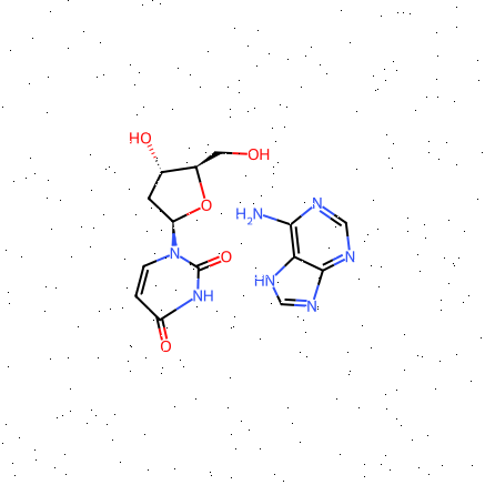 Nc1ncnc2nc[nH]c12.O=c1ccn([C@H]2C[C@H](O)[C@@H](CO)O2)c(=O)[nH]1